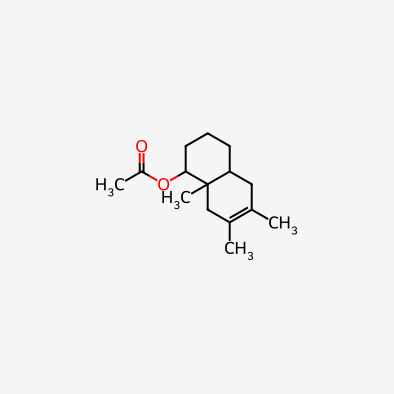 CC(=O)OC1CCCC2CC(C)=C(C)CC21C